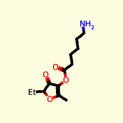 CCC1OC(C)=C(OC(=O)CCCCCN)C1=O